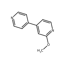 COc1cc(-c2ccncc2)ccn1